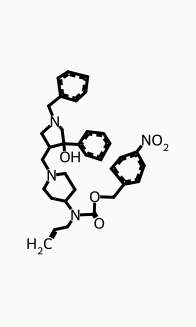 C=CCN(C(=O)OCc1ccc([N+](=O)[O-])cc1)C1CCN(CC2CN(Cc3ccccc3)CC2(O)c2ccccc2)CC1